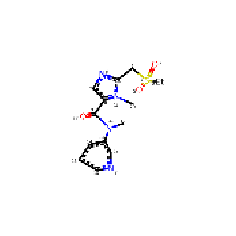 CCS(=O)(=O)Cc1ncc(C(=O)N(C)c2cccnc2)n1C